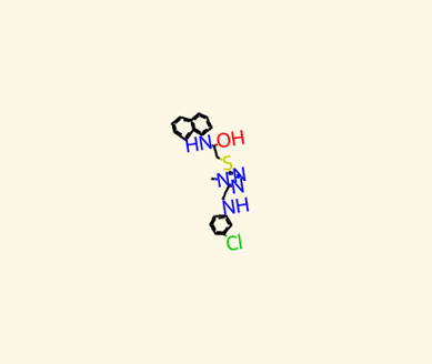 Cn1c(CNc2cccc(Cl)c2)nnc1SCC(O)Nc1cccc2ccccc12